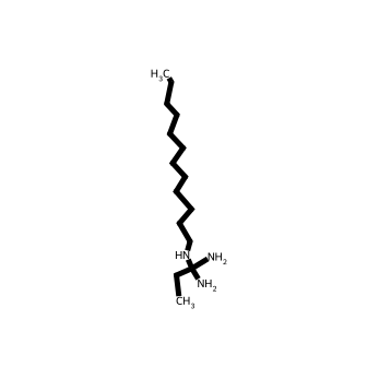 CCCCCCCCCCCCNC(N)(N)CC